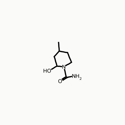 CC1CCN(C(N)=O)C(O)C1